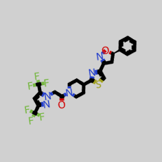 O=C(Cn1nc(C(F)(F)F)cc1C(F)(F)F)N1CCC(c2nc(C3=NO[C@@H](c4ccccc4)C3)cs2)CC1